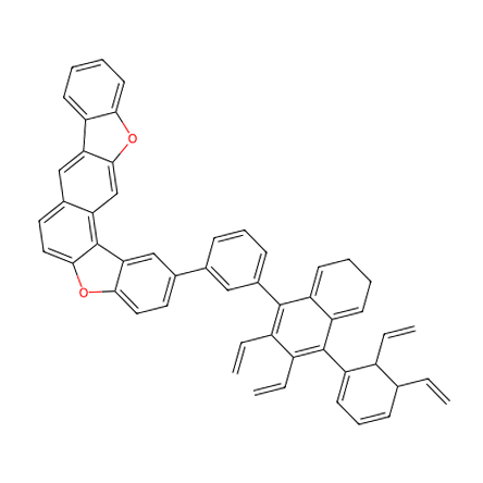 C=Cc1c(C=C)c(-c2cccc(-c3ccc4oc5ccc6cc7c(cc6c5c4c3)oc3ccccc37)c2)c2c(c1C1=CC=CC(C=C)C1C=C)=CCCC=2